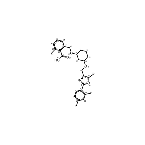 Cc1ccc(-c2nc(COC3CCCC(OCc4cccc(C)c4C(=O)O)C3)c(C)o2)c(C)c1